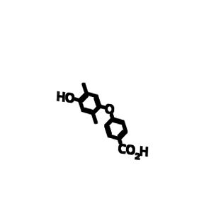 Cc1cc(Oc2ccc(C(=O)O)cc2)c(C)cc1O